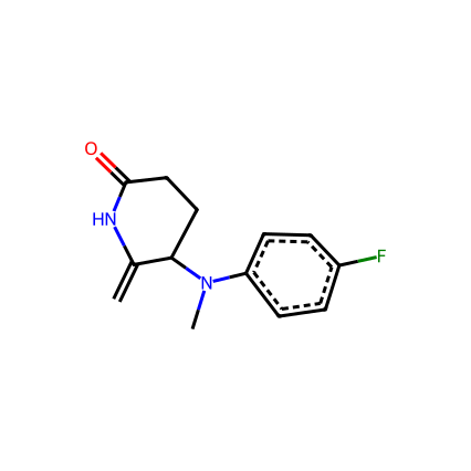 C=C1NC(=O)CCC1N(C)c1ccc(F)cc1